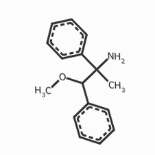 COC(c1ccccc1)C(C)(N)c1ccccc1